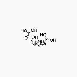 N.N.N.N.O=P(O)(O)O.OP(O)O